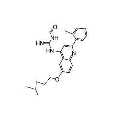 Cc1ccccc1-c1cc(NC(=N)NC=O)c2cc(OCCCC(C)C)ccc2n1